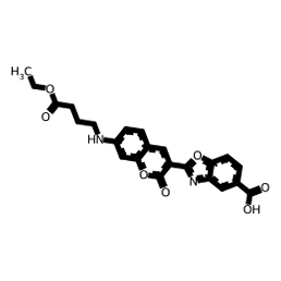 CCOC(=O)CCCNc1ccc2cc(-c3nc4cc(C(=O)O)ccc4o3)c(=O)oc2c1